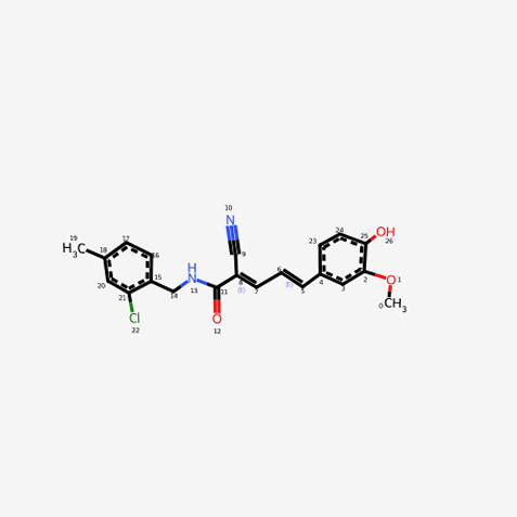 COc1cc(/C=C/C=C(\C#N)C(=O)NCc2ccc(C)cc2Cl)ccc1O